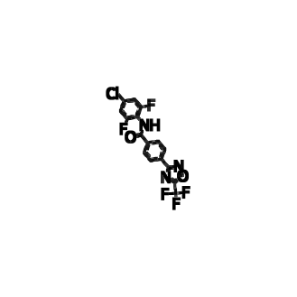 O=C(Nc1c(F)cc(Cl)cc1F)c1ccc(-c2noc(C(F)(F)F)n2)cc1